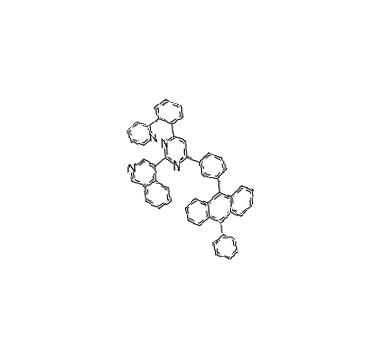 c1ccc(-c2c3ccccc3c(-c3cccc(-c4cc(-c5ccccc5-c5ccccn5)nc(-c5cncc6ccccc56)n4)c3)c3ccccc23)cc1